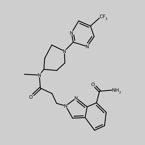 CN(C(=O)CCn1cc2cccc(C(N)=O)c2n1)C1CCN(c2ncc(C(F)(F)F)cn2)CC1